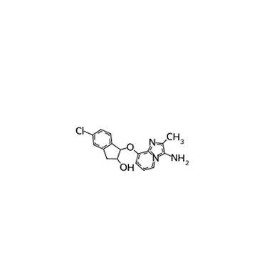 Cc1nc2c(OC3c4ccc(Cl)cc4CC3O)cccn2c1N